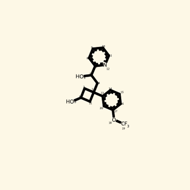 OC1CC(CC(O)c2ccccn2)(c2cccc(OC(F)(F)F)c2)C1